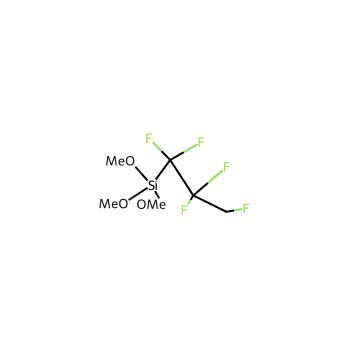 CO[Si](OC)(OC)C(F)(F)C(F)(F)CF